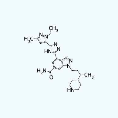 CCn1nc(C)cc1-c1nnc(-c2cc(C(N)=O)cc3c2cnn3CCC(C)C2CCNCC2)[nH]1